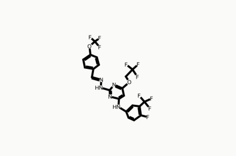 Fc1ccc(Nc2cc(OCC(F)(F)F)nc(N/N=C/c3ccc(OC(F)(F)F)cc3)n2)cc1C(F)(F)F